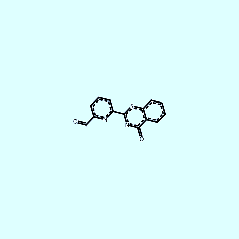 O=[C]c1cccc(-c2nc(=O)c3ccccc3s2)n1